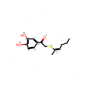 CCC/C=C(/C)SCC(=O)c1ccc(O)c(O)c1